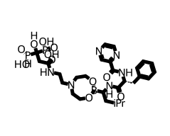 CC(C)CC(NC(=O)[C@@H](Cc1ccccc1)NC(=O)c1cnccn1)B1OCCN(CCNC(=O)CC(O)([PH](=O)O)P(=O)(O)O)CCO1